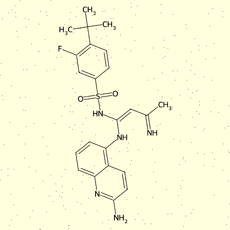 CC(=N)/C=C(\Nc1cccc2nc(N)ccc12)NS(=O)(=O)c1ccc(C(C)(C)C)c(F)c1